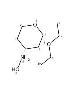 C1CCOCC1.CCOCC.NO